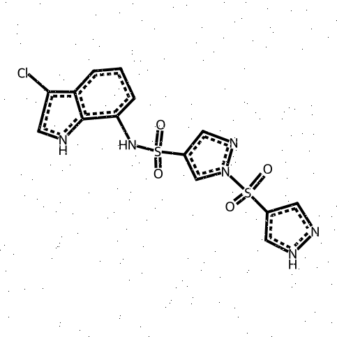 O=S(=O)(Nc1cccc2c(Cl)c[nH]c12)c1cnn(S(=O)(=O)c2cn[nH]c2)c1